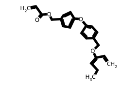 C=CC(=O)OCc1ccc(Oc2ccc(CO/C(C=C)=C/CC)cc2)cc1